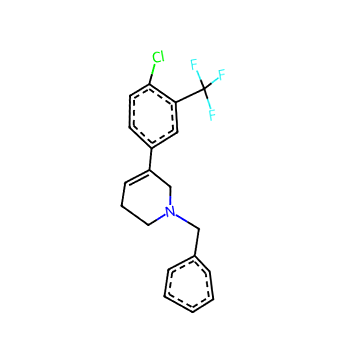 FC(F)(F)c1cc(C2=CCCN(Cc3ccccc3)C2)ccc1Cl